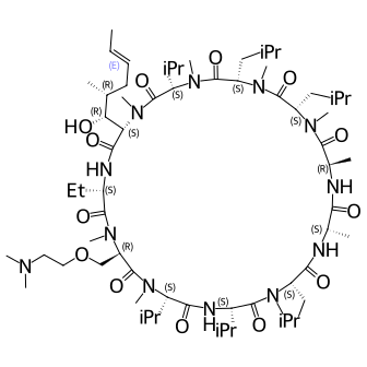 C/C=C/C[C@@H](C)[C@@H](O)[C@H]1C(=O)N[C@@H](CC)C(=O)N(C)[C@H](COCCN(C)C)C(=O)N(C)[C@@H](C(C)C)C(=O)N[C@@H](C(C)C)C(=O)N(C)[C@@H](CC(C)C)C(=O)N[C@@H](C)C(=O)N[C@H](C)C(=O)N(C)[C@@H](CC(C)C)C(=O)N(C)[C@@H](CC(C)C)C(=O)N(C)[C@@H](C(C)C)C(=O)N1C